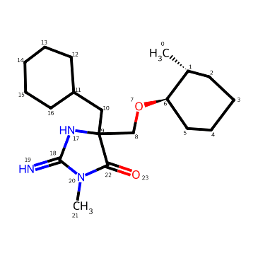 C[C@@H]1CCCC[C@H]1OCC1(CC2CCCCC2)NC(=N)N(C)C1=O